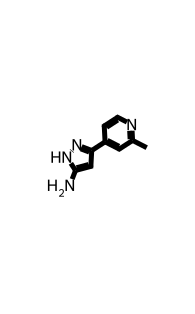 Cc1cc(-c2cc(N)[nH]n2)ccn1